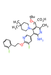 Cc1nc(N)c(-c2cnc(OCCc3ccccc3F)c(F)c2)c(N2CCC(C)(C)CC2)c1[C@H](OC(C)(C)C)C(=O)O